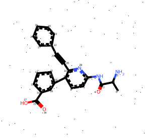 CC(N)C(=O)Nc1ccc(-c2cccc(C(=O)O)c2)c(C#Cc2ccccc2)n1